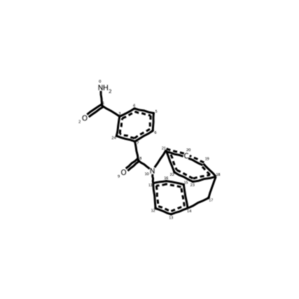 NC(=O)c1cccc(C(=O)N2c3ccc(cc3)Cc3ccc2cc3)c1